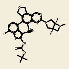 CN1C[C@@H]2CN(c3ncc4c5c(c(-c6ccc(F)c7sc(NC(=O)OC(C)(C)C)c(C#N)c67)c(Cl)c4n3)COC5)C[C@@H]21